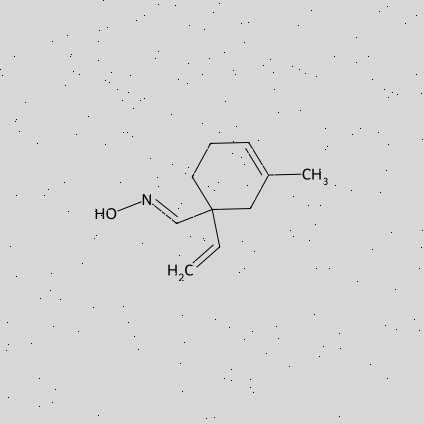 C=CC1(C=NO)CCC=C(C)C1